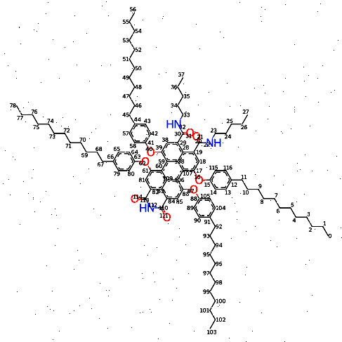 CCCCCCCCCCCCc1ccc(Oc2cc(C(=O)NCCCCC)c3c(C(=O)NCCCCC)cc(Oc4ccc(CCCCCCCCCCCC)cc4)c4c5c(Oc6ccc(CCCCCCCCCCCC)cc6)cc6c7c(cc(Oc8ccc(CCCCCCCCCCCC)cc8)c(c2c34)c75)C(=O)NC6=O)cc1